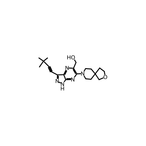 CC(C)(C)C#Cc1n[nH]c2nc(N3CCC4(CCOC4)CC3)c(CO)nc12